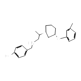 Cc1cccc(O[C@@H]2CCC[C@H](C(C)CNCc3ccc(O)cc3)C2)c1